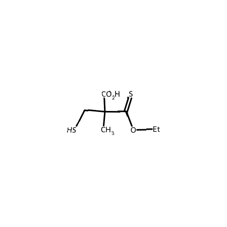 CCOC(=S)C(C)(CS)C(=O)O